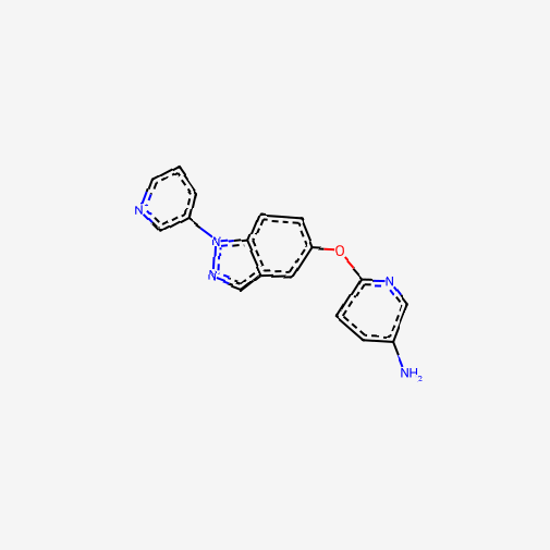 Nc1ccc(Oc2ccc3c(cnn3-c3cccnc3)c2)nc1